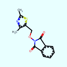 Cc1nc(C)c(CON2C(=O)c3ccccc3C2=O)s1